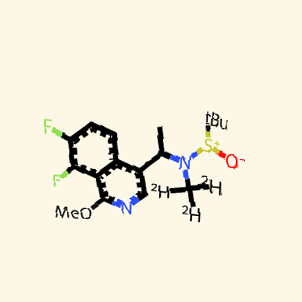 [2H]C([2H])([2H])N(C(C)c1cnc(OC)c2c(F)c(F)ccc12)[S+]([O-])C(C)(C)C